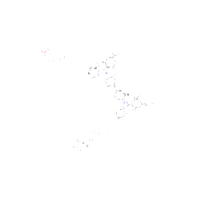 CCC1(COCCCCCCc2ccc(N(c3ccc(-c4ccc(N(c5ccc(CCCCCCOCC6(CC)COC6)cc5)c5ccc(C(F)(F)F)cc5C(F)(F)F)cc4)cc3)c3ccc(C(F)(F)F)cc3C(F)(F)F)cc2)COC1